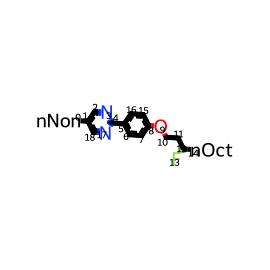 CCCCCCCCCc1cnc(-c2ccc(OCCC(F)CCCCCCCC)cc2)nc1